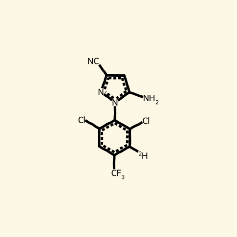 [2H]c1c(C(F)(F)F)cc(Cl)c(-n2nc(C#N)cc2N)c1Cl